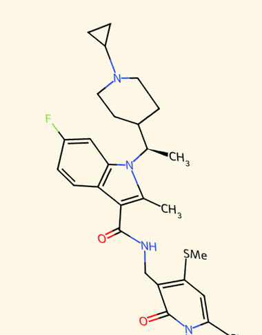 CSc1cc(C)[nH]c(=O)c1CNC(=O)c1c(C)n([C@H](C)C2CCN(C3CC3)CC2)c2cc(F)ccc12